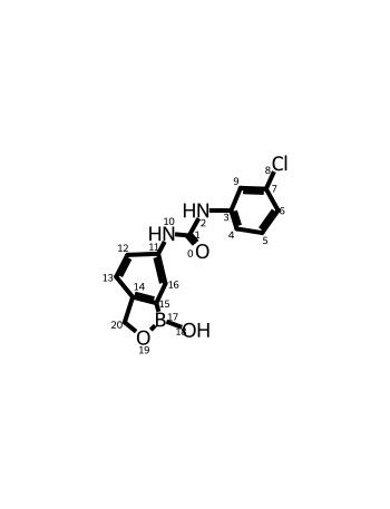 O=C(Nc1cccc(Cl)c1)Nc1ccc2c(c1)B(O)OC2